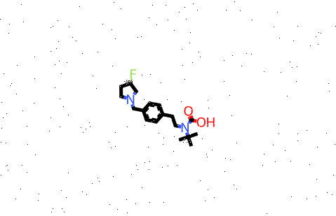 CC(C)(C)N(CCc1ccc(CN2CC[C@H](F)C2)cc1)C(=O)O